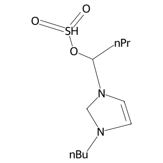 CCCCN1C=CN(C(CCC)O[SH](=O)=O)C1